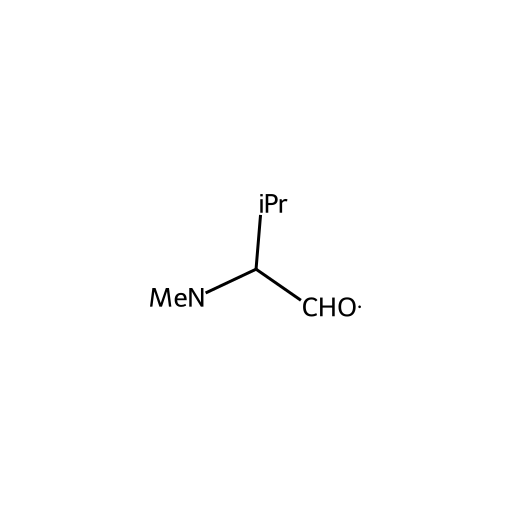 CNC([C]=O)C(C)C